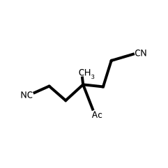 CC(=O)C(C)(CCC#N)CCC#N